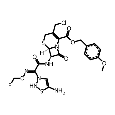 COc1ccc(COC(=O)C2=C(CCl)CS[C@@H]3[C@H](NC(=O)/C(=N/OCF)N4C=C(N)SN4)C(=O)N23)cc1